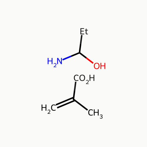 C=C(C)C(=O)O.CCC(N)O